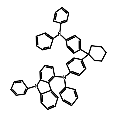 c1ccc(N(c2ccccc2)c2ccc(C3(c4ccc(N(c5ccccc5)c5cccc6c5c5ccccc5n6-c5ccccc5)cc4)CCCCC3)cc2)cc1